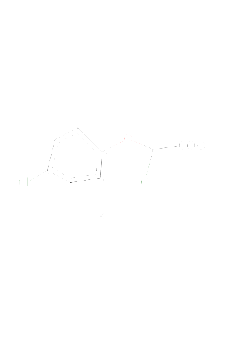 O=C([O-])C(Cl)Oc1ccc(Cl)cc1.[K+]